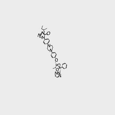 CCC(C)n1ncn(-c2ccc(N3CCN(c4ccc(OC[C@@H]5O[C@@](Cn6nccn6)(c6ccccc6)OC5C)cc4)CC3)cc2)c1=O